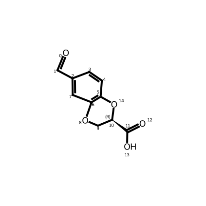 O=Cc1ccc2c(c1)OC[C@H](C(=O)O)O2